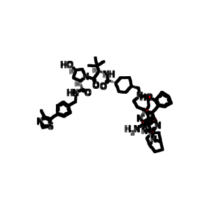 Cc1ncsc1-c1ccc(CNC(=O)[C@@H]2C[C@@H](O)CN2C(=O)[C@@H](NC(=O)[C@H]2CC[C@H](CN3CCC(c4cnc(N5C6CCC5CN(c5cc(-c7ccccc7O)nnc5N)C6)nc4)CC3)CC2)C(C)(C)C)cc1